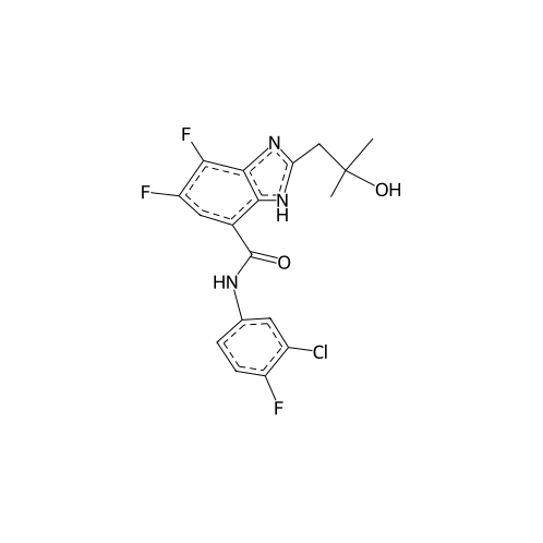 CC(C)(O)Cc1nc2c(F)c(F)cc(C(=O)Nc3ccc(F)c(Cl)c3)c2[nH]1